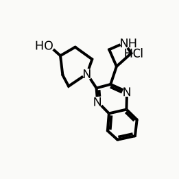 Cl.OC1CCN(c2nc3ccccc3nc2C2CNC2)CC1